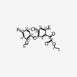 CCOC(=O)C(=O)c1cc(Oc2ccc(F)cc2OC)c(Cl)cc1F